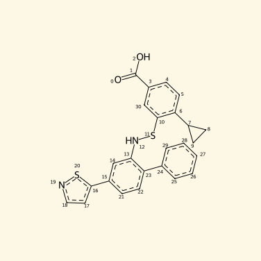 O=C(O)c1ccc(C2CC2)c(SNc2cc(-c3ccns3)ccc2-c2ccccc2)c1